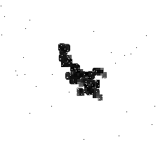 CC(=O)c1nn(CC(=O)N2C[C@@H](C)C[C@H]2C(=O)Nc2nc(Br)ccc2C)c2ccc(-c3cnc(OC4CS(=O)(=O)C4)nc3)cc12